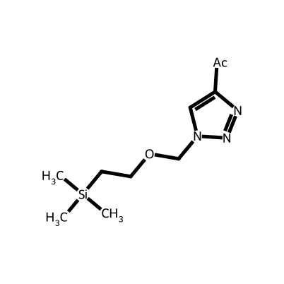 CC(=O)c1cn(COCC[Si](C)(C)C)nn1